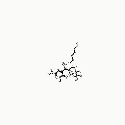 CCCCCCC[C@H](O[Si](C)(C)C(C)(C)C)[C@@H](O)[C@H](O)C(=CC(=O)OC)C(=O)OC